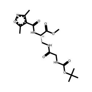 COC(=O)[C@H](CNC(=O)CNC(=O)OC(C)(C)C)NC(=O)c1c(C)noc1C